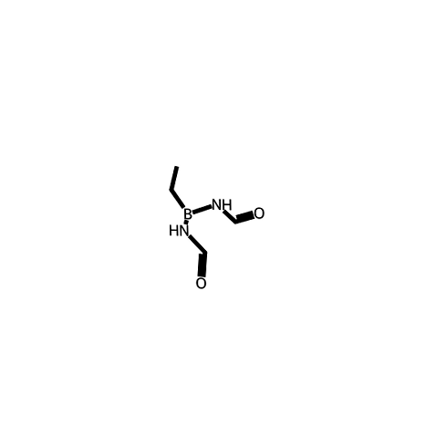 CCB(NC=O)NC=O